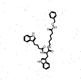 O=C(CCCCCNC(=O)C(Cc1c[nH]c2ccccc12)NC(=O)CCCc1c[nH]c2ccccc12)NOCc1ccccc1